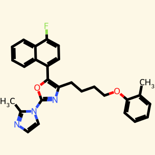 Cc1ccccc1OCCCCc1nc(-n2ccnc2C)oc1-c1ccc(F)c2ccccc12